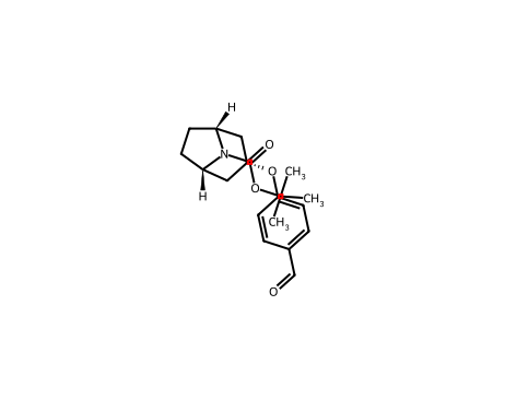 CC(C)(C)OC(=O)N1[C@@H]2CC[C@H]1C[C@@H](Oc1ccc(C=O)cc1)C2